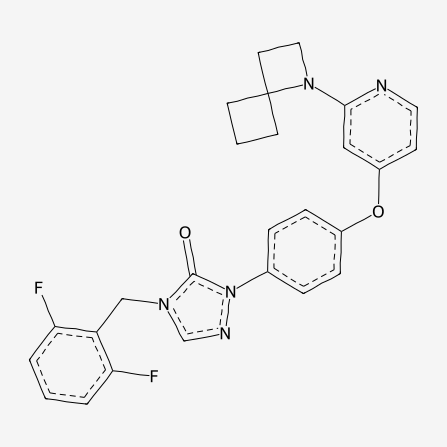 O=c1n(Cc2c(F)cccc2F)cnn1-c1ccc(Oc2ccnc(N3CCC34CCC4)c2)cc1